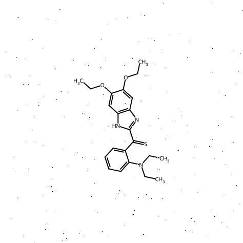 CCOc1cc2nc(C(=S)c3ccccc3N(CC)CC)[nH]c2cc1OCC